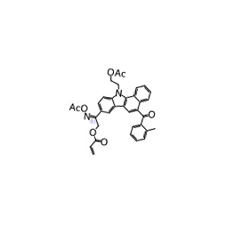 C=CC(=O)OC/C(=N/OC(C)=O)c1ccc2c(c1)c1cc(C(=O)c3ccccc3C)c3ccccc3c1n2CCOC(C)=O